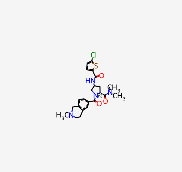 CN1CCc2cc(C(=O)N3CC(NC(=O)c4ccc(Cl)s4)C[C@H]3C(=O)N(C)C)ccc2C1